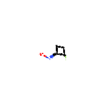 ON=C1C[CH]C1F